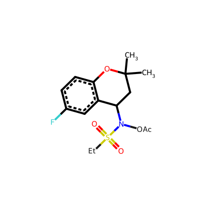 CCS(=O)(=O)N(OC(C)=O)C1CC(C)(C)Oc2ccc(F)cc21